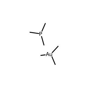 CP(C)C.[CH3][Au]([CH3])[CH3]